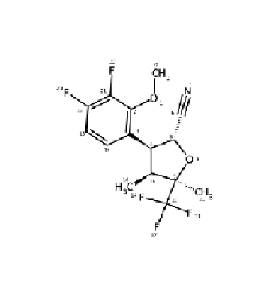 COc1c([C@H]2[C@H](C#N)O[C@@](C)(C(F)(F)F)[C@H]2C)ccc(F)c1F